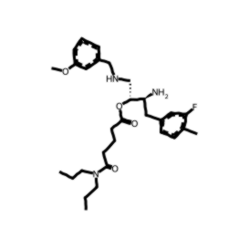 CCCN(CCC)C(=O)CCCC(=O)O[C@H](CNCc1cccc(OC)c1)[C@@H](N)Cc1ccc(C)c(F)c1